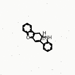 C1=C2c3ccccc3N[C@H]2Cc2c1oc1ccccc21